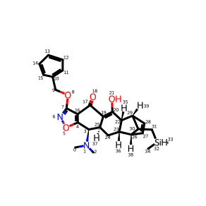 CN(C)[C@H]1c2onc(OCc3ccccc3)c2C(=O)C2=C(O)[C@H]3[C@@H](C[C@H]21)[C@H]1C=C[C@@H]3C1C[SiH](C)C